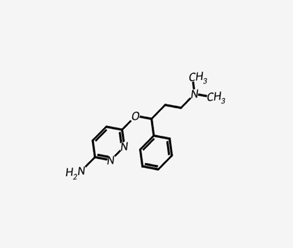 CN(C)CCC(Oc1ccc(N)nn1)c1ccccc1